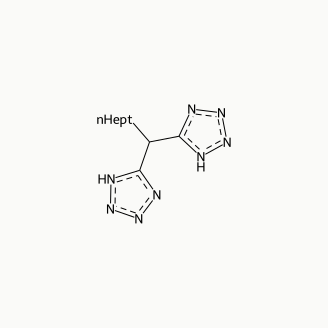 CCCCCCCC(c1nnn[nH]1)c1nnn[nH]1